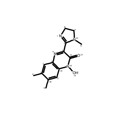 Cc1cc2nc(C3=NCCN3C)c(=O)n(O)c2cc1C